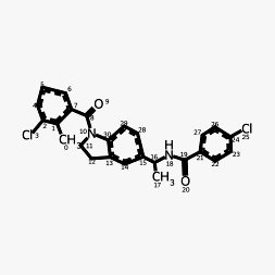 Cc1c(Cl)cccc1C(=O)N1CCc2cc(C(C)NC(=O)c3ccc(Cl)cc3)ccc21